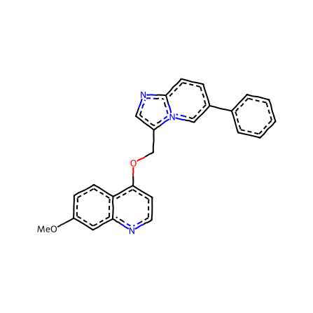 COc1ccc2c(OCc3cnc4ccc(-c5ccccc5)cn34)ccnc2c1